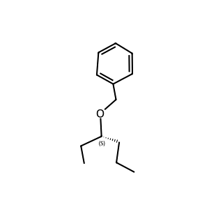 CCC[C@H](CC)OCc1ccccc1